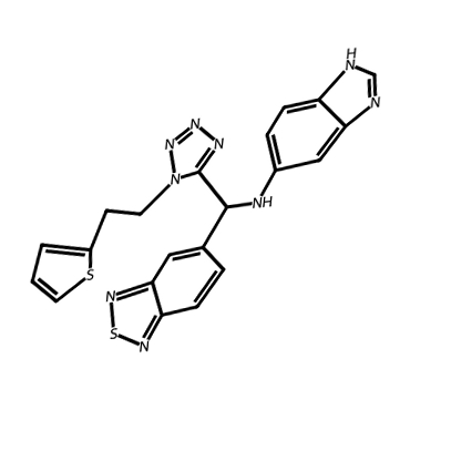 c1csc(CCn2nnnc2C(Nc2ccc3[nH]cnc3c2)c2ccc3nsnc3c2)c1